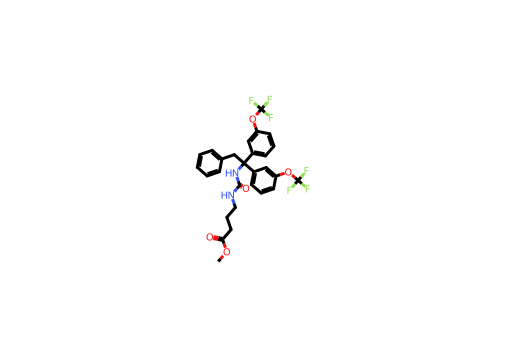 COC(=O)CCCNC(=O)NC(Cc1ccccc1)(c1cccc(OC(F)(F)F)c1)c1cccc(OC(F)(F)F)c1